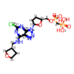 O=P(O)(O)CP(=O)(O)OC[C@@H]1CC[C@H](n2nnc3c(NC[C@H]4CCOC4)nc(Cl)nc32)O1